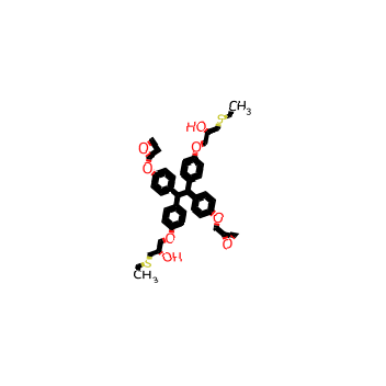 CCSCC(O)COc1ccc(C(c2ccc(OCC3CO3)cc2)C(c2ccc(OCC(O)CSCC)cc2)c2ccc(OC3CCO3)cc2)cc1